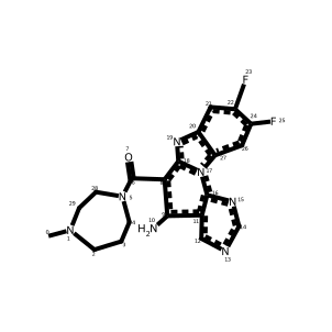 CN1CCCN(C(=O)c2c(N)c3cncnc3n3c2nc2cc(F)c(F)cc23)CC1